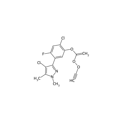 C#COOC(=C)Oc1cc(-c2nn(C)c(C)c2Cl)c(F)cc1Cl